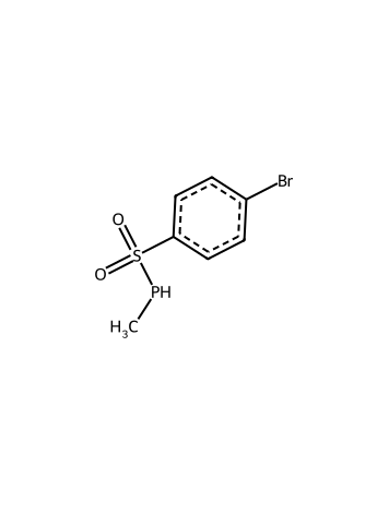 CPS(=O)(=O)c1ccc(Br)cc1